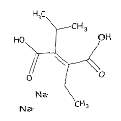 CCC(C(=O)O)=C(C(=O)O)C(C)C.[Na].[Na]